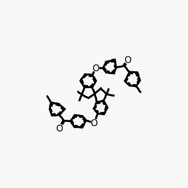 Cc1ccc(C(=O)c2ccc(Oc3ccc4c(c3)C3(CC4(C)C)CC(C)(C)c4ccc(Oc5ccc(C(=O)c6ccc(C)cc6)cc5)cc43)cc2)cc1